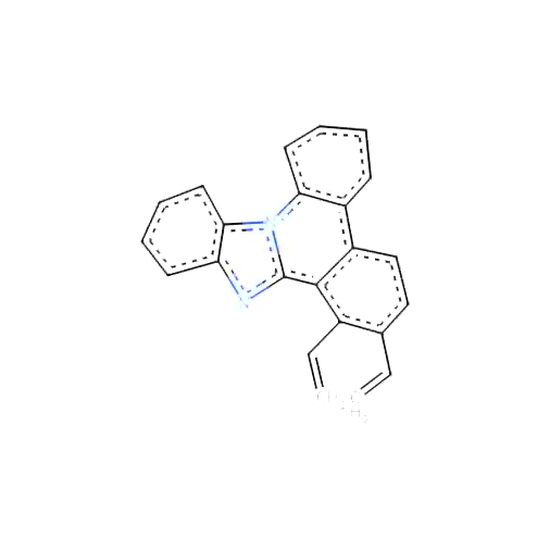 C=Cc1ccc2c3ccccc3n3c4ccccc4nc3c2c1C=C